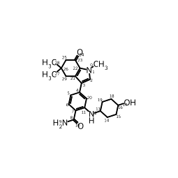 Cn1cc(-c2ccc(C(N)=O)c(NC3CCC(O)CC3)c2)c2c1C(=O)CC(C)(C)C2